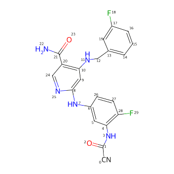 N#CC(=O)Nc1cc(Nc2cc(NCc3cccc(F)c3)c(C(N)=O)cn2)ccc1F